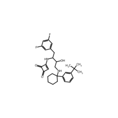 CC(C)(C)c1cccc(C2(NCC(O)C(Cc3cc(F)cc(F)c3)Nc3cc(=O)c3=O)CCCCC2)c1